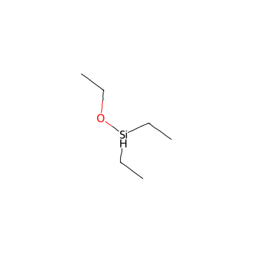 CCO[SiH](CC)CC